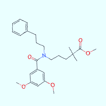 COC(=O)C(C)(C)CCCN(CCCc1ccccc1)C(=O)c1cc(OC)cc(OC)c1